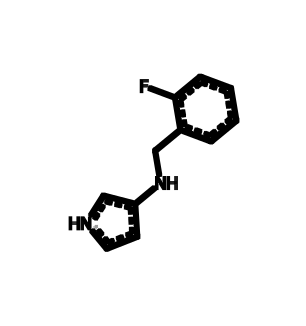 Fc1ccccc1CNc1cc[nH]c1